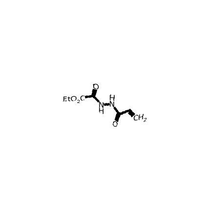 C=CC(=O)NNC(=O)C(=O)OCC